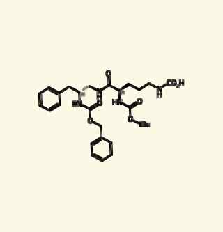 CC(C)(C)OC(=O)N[C@H](CCCNC(=O)O)C(=O)NC[C@@H](Cc1ccccc1)NC(=O)OCc1ccccc1